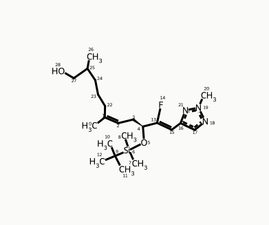 CC(=CC[C@H](O[Si](C)(C)C(C)(C)C)C(F)=Cc1cnn(C)n1)CCCC(C)CO